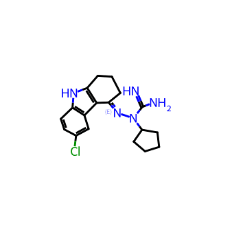 N=C(N)N(/N=C1\CCCc2[nH]c3ccc(Cl)cc3c21)C1CCCC1